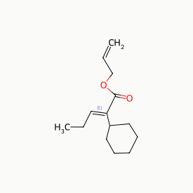 C=CCOC(=O)/C(=C/CC)C1CCCCC1